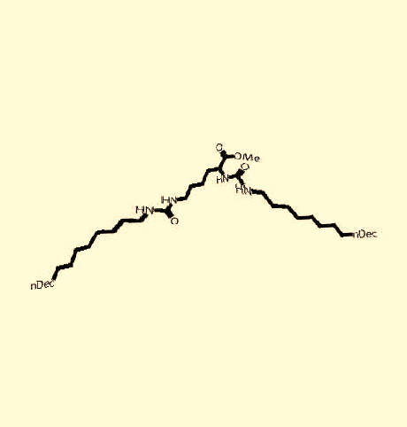 CCCCCCCCCCCCCCCCCCNC(=O)NCCCCC(NC(=O)NCCCCCCCCCCCCCCCCCC)C(=O)OC